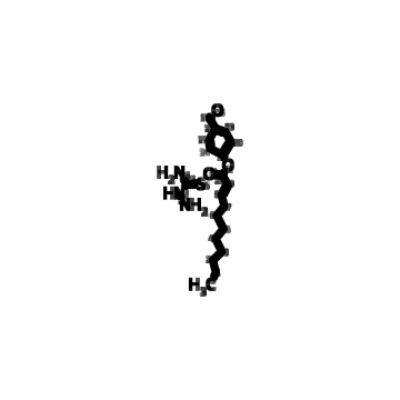 CCCCCCCCC=CC(=O)Oc1ccc(C=O)cc1.NNC(N)=S